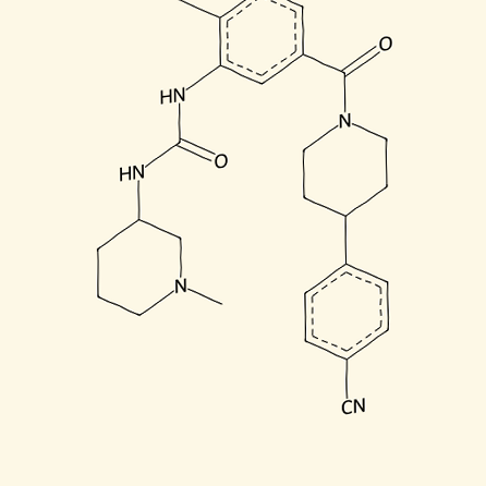 Cc1ccc(C(=O)N2CCC(c3ccc(C#N)cc3)CC2)cc1NC(=O)NC1CCCN(C)C1